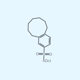 CCCCCCCCS(=O)(=O)c1ccc2c(c1)CCCCCCC2